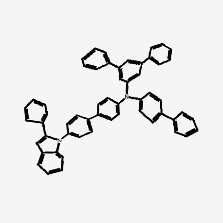 c1ccc(-c2ccc(N(c3ccc(-c4ccc(-n5c(-c6ccccc6)cc6ccccc65)cc4)cc3)c3cc(-c4ccccc4)cc(-c4ccccc4)c3)cc2)cc1